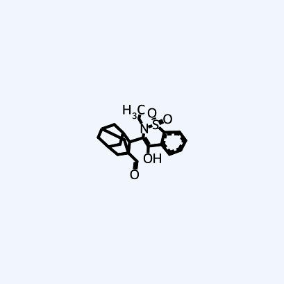 CCN1C(C2C3CC4CC(C3)CC2(C=O)C4)=C(O)c2ccccc2S1(=O)=O